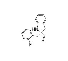 C=C[C@]1(Cc2ccccc2F)Cc2ccccc2N1